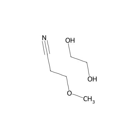 COCCC#N.OCCO